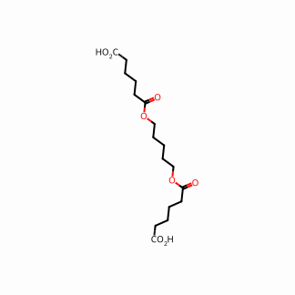 O=C(O)CCCCC(=O)OCCCCCOC(=O)CCCCC(=O)O